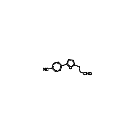 N#Cc1ccc(-c2ccc(CCC=O)o2)cc1